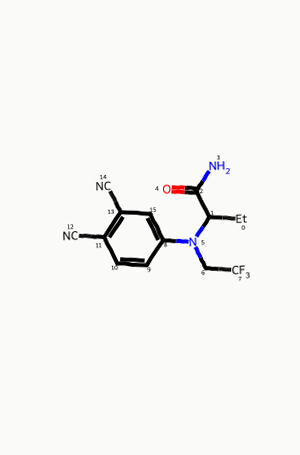 CCC(C(N)=O)N(CC(F)(F)F)c1ccc(C#N)c(C#N)c1